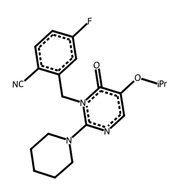 CC(C)Oc1cnc(N2CCCCC2)n(Cc2cc(F)ccc2C#N)c1=O